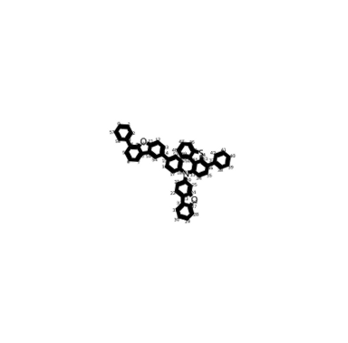 c1ccc(-c2cccc3c2oc2ccc(-c4ccc(N(c5ccc6c(c5)oc5ccccc56)c5ccc(-c6ccccc6)c6sc7ccccc7c56)cc4)cc23)cc1